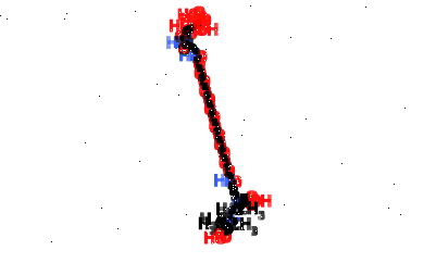 CC[N+]1=C(/C=C/C=C/C=C2/N(CCCCCC(=O)NCCOCCOCCOCCOCCOCCOCCOCCOCCOCCOCCOCCOCCOCC(=O)NCC#Cc3cn(C4CC(O)C(COP(=O)(O)OP(=O)([O-])OP(=O)(O)O)O4)c(=O)[nH]c3=O)c3ccc(S(=O)(=O)O)cc3C2(C)C)C(C)(C)c2cc(S(=O)(=O)O)ccc21